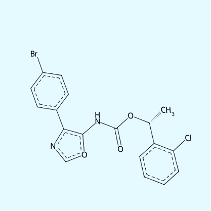 C[C@@H](OC(=O)Nc1ocnc1-c1ccc(Br)cc1)c1ccccc1Cl